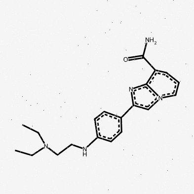 CCN(CC)CCNc1ccc(-c2cn3cccc(C(N)=O)c3n2)cc1